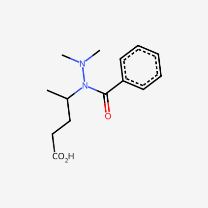 CC(CCC(=O)O)N(C(=O)c1ccccc1)N(C)C